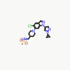 CS(=O)(=O)NCC1CCN(c2cc3c(cnn3-c3cnn(C4CC4)c3)cc2Cl)CC1